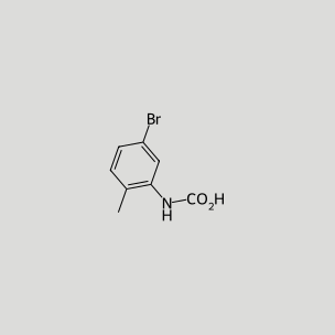 Cc1ccc(Br)cc1NC(=O)O